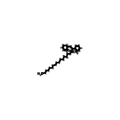 CCCCCCCCCCCCCCCC[N+](C)(C)C(Cc1ccccc1)c1ccccc1